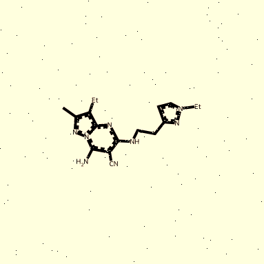 CCc1c(C)nn2c(N)c(C#N)c(NCCc3ccn(CC)n3)nc12